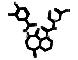 O=C[C@H](CC(=O)O)NC(=O)[C@@H]1CCCN2C(=O)CC[C@H](NC(=O)c3ccc(F)c(F)c3)C(=O)N12